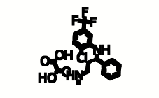 CNCC[C@@H](Nc1cc(C(F)(F)F)ccc1Cl)c1ccccc1.O=C(O)C(=O)O